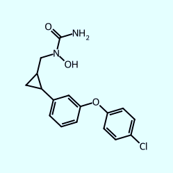 NC(=O)N(O)CC1CC1c1cccc(Oc2ccc(Cl)cc2)c1